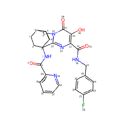 O=C(NC12CCC(CC1)Cn1c2nc(C(=O)NCc2ccc(F)cc2)c(O)c1=O)c1ccccn1